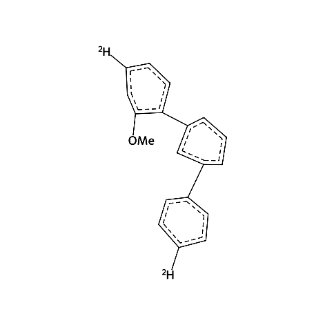 [2H]c1ccc(-c2cccc(-c3ccc([2H])cc3OC)c2)cc1